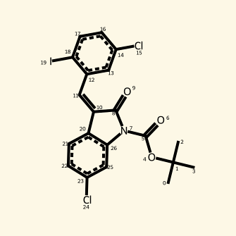 CC(C)(C)OC(=O)N1C(=O)C(=Cc2cc(Cl)ccc2I)c2ccc(Cl)cc21